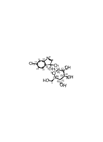 OC[C@H]1O[C@H](OC2(O)C=Nc3cc(Cl)ccc32)[C@H](O)[C@@H](O)[C@@H]1O